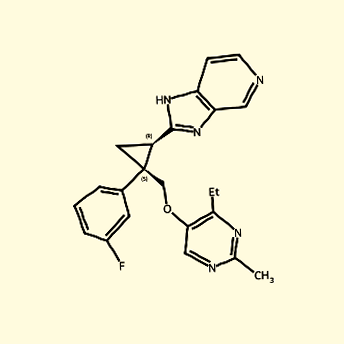 CCc1nc(C)ncc1OC[C@@]1(c2cccc(F)c2)C[C@H]1c1nc2cnccc2[nH]1